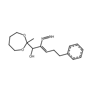 CC1(C(O)C(=CCCc2ccccc2)N=N)OCCCCO1